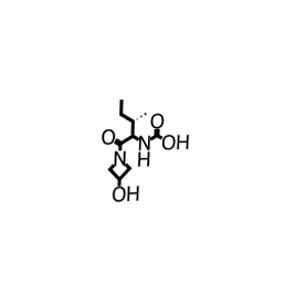 CC[C@H](C)C(NC(=O)O)C(=O)N1CC(O)C1